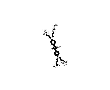 O=C(O)CCCN(CCCS(=O)(=O)O)c1ccc(C2=C(O)C(=C3C=CC(=[N+](CCCSOOO)CCCS(=O)(=O)O)C=C3)C2=O)cc1